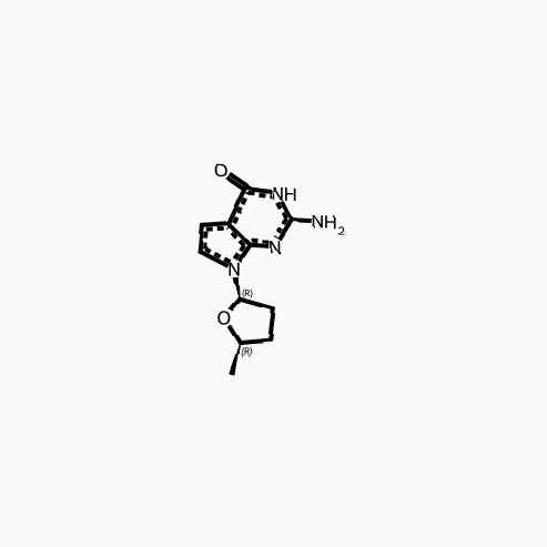 C[C@@H]1CC[C@H](n2ccc3c(=O)[nH]c(N)nc32)O1